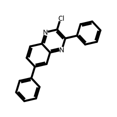 Clc1nc2ccc(-c3ccccc3)cc2nc1-c1ccccc1